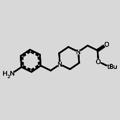 CC(C)(C)OC(=O)CN1CCN(Cc2cccc(N)c2)CC1